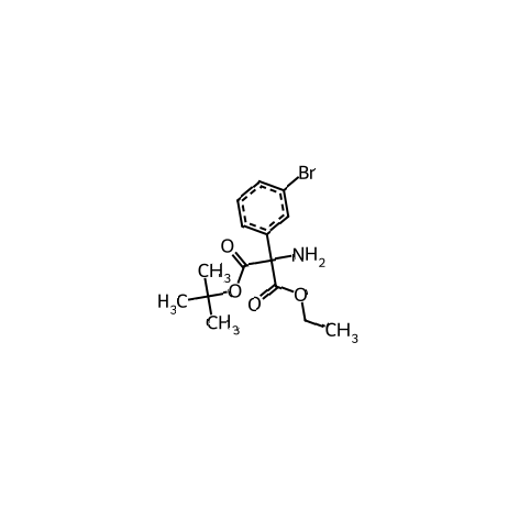 CCOC(=O)C(N)(C(=O)OC(C)(C)C)c1cccc(Br)c1